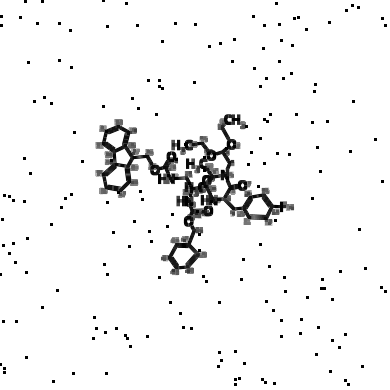 CCOC(CN(C(=O)C(Cc1ccc(F)cc1)NC(=O)C(CNC(=O)OCC1c2ccccc2-c2ccccc21)NC(=O)OCc1ccccc1)C(C)C)OCC